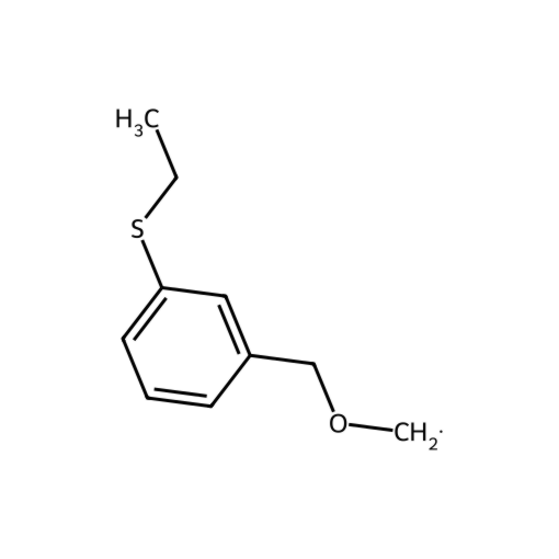 [CH2]OCc1cccc(SCC)c1